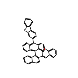 c1ccc2cc(-c3ccc4ccccc4c3-c3c4ccccc4c(-c4ccc5c(c4)oc4ccccc45)c4ccccc34)ccc2c1